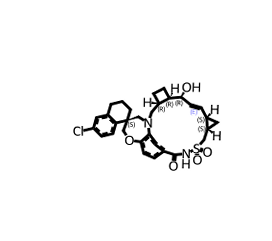 O=C1NS(=O)(=O)C[C@H]2C[C@H]2/C=C/[C@H](O)[C@@H]2CC[C@H]2CN2C[C@@]3(CCCc4cc(Cl)ccc43)COc3ccc1cc32